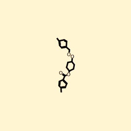 Cc1ccc(COOC2CCC(OC(=O)c3ccc(C)cc3)CC2)cc1